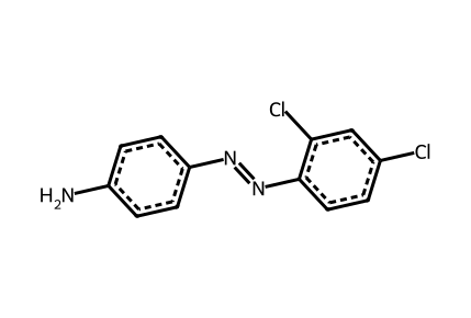 Nc1ccc(/N=N/c2ccc(Cl)cc2Cl)cc1